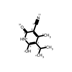 Cc1c(C(C)C)c(O)[nH]c(=O)c1C#N